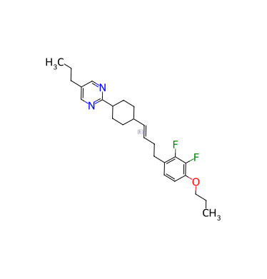 CCCOc1ccc(CC/C=C/C2CCC(c3ncc(CCC)cn3)CC2)c(F)c1F